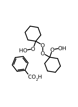 O=C(O)c1ccccc1.OOC1(OOC2(OO)CCCCC2)CCCCC1